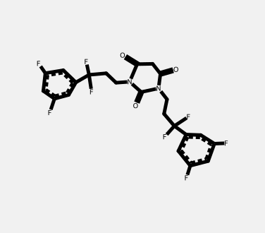 O=C1CC(=O)N(CCC(F)(F)c2cc(F)cc(F)c2)C(=O)N1CCC(F)(F)c1cc(F)cc(F)c1